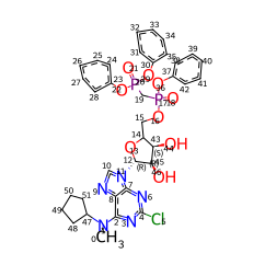 CN(c1nc(Cl)nc2c1ncn2[C@@H]1OC(COP(=O)(CP(=O)(Oc2ccccc2)Oc2ccccc2)Oc2ccccc2)[C@@H](O)[C@H]1O)C1CCCC1